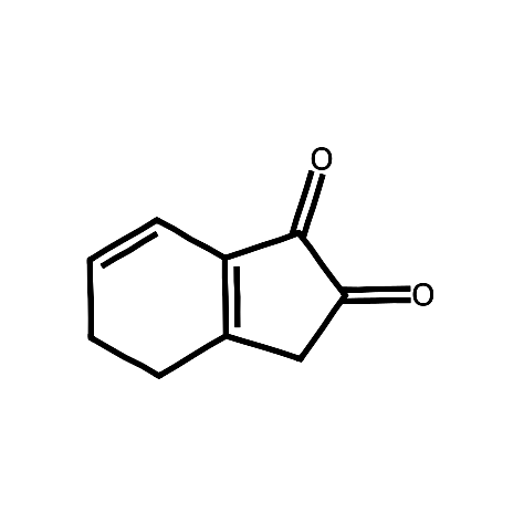 O=C1CC2=C(C=CCC2)C1=O